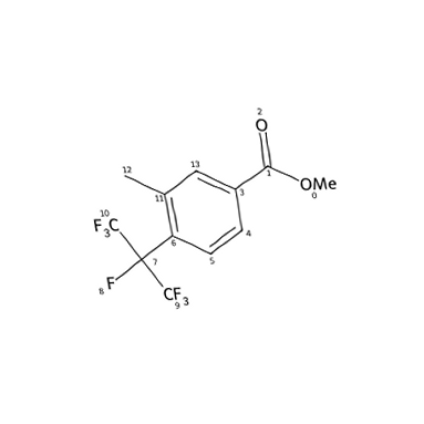 COC(=O)c1ccc(C(F)(C(F)(F)F)C(F)(F)F)c(C)c1